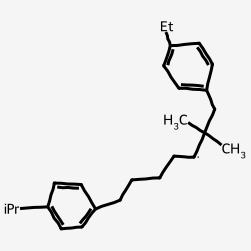 CCc1ccc(CC(C)(C)[CH]CCCCc2ccc(C(C)C)cc2)cc1